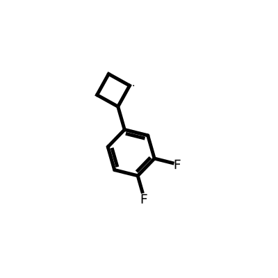 Fc1ccc(C2[CH]CC2)cc1F